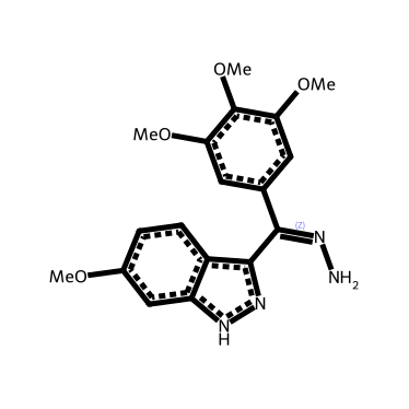 COc1ccc2c(/C(=N\N)c3cc(OC)c(OC)c(OC)c3)n[nH]c2c1